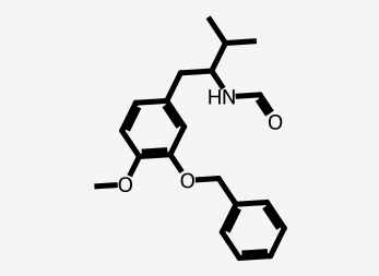 COc1ccc(CC(NC=O)C(C)C)cc1OCc1ccccc1